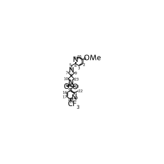 COc1ccc(CN2CC3(C2)CN(S(=O)(=O)c2ccc(C(F)(F)F)nc2C)C3)nc1